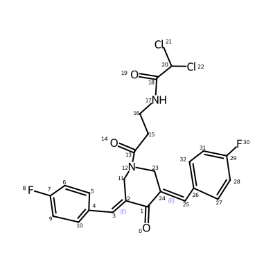 O=C1/C(=C/c2ccc(F)cc2)CN(C(=O)CCNC(=O)C(Cl)Cl)C/C1=C\c1ccc(F)cc1